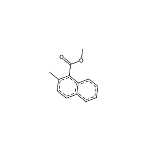 COC(=O)c1c(C)ccc2ccccc12